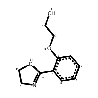 OCCOc1ccccc1C1=NCCO1